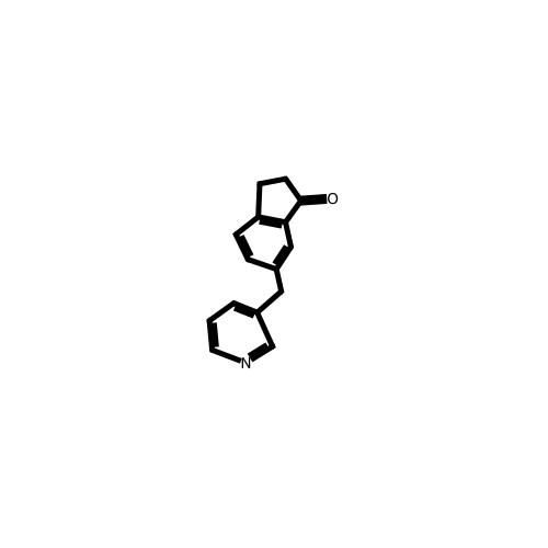 O=C1CCc2ccc(Cc3cccnc3)cc21